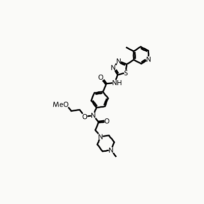 COCCON(C(=O)CN1CCN(C)CC1)c1ccc(C(=O)Nc2nnc(-c3cnccc3C)s2)cc1